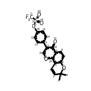 CC1(C)C=Cc2c(ccc3c(=O)c(-c4ccc(OS(=O)(=O)C(F)(F)F)cc4)coc23)O1